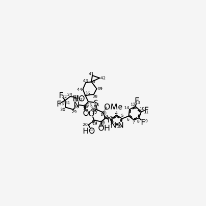 CO[C@@H]1[C@@H](n2cc(-c3cc(F)c(F)c(F)c3)nn2)[C@@H](O)[C@@H](CO)O[C@H]1SC(C(=O)N1CCC(F)(F)CC1)C1(O)CCC2(CC2)CC1